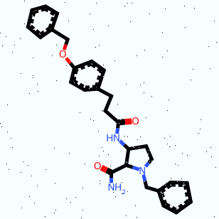 NC(=O)C1C(NC(=O)[CH]Cc2ccc(OCc3ccccc3)cc2)CCN1Cc1ccccc1